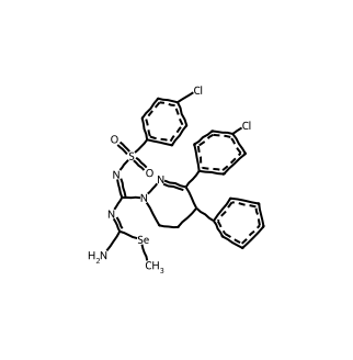 C[Se]/C(N)=N\C(=N\S(=O)(=O)c1ccc(Cl)cc1)N1CCC(c2ccccc2)C(c2ccc(Cl)cc2)=N1